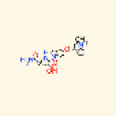 Cc1cc(COc2ccc3c(c2)CCN3C(=O)C2NCC3(CC2C(=O)O)CC3C(N)=O)c2ccccc2n1